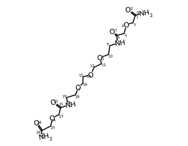 NC(=O)COCC(=O)NCCOCCOCCOCCNC(=O)COCC(N)=O